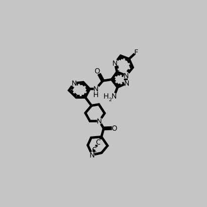 Nc1nn2cc(F)cnc2c1C(=O)Nc1cnccc1C1CCN(C(=O)C23CCN(CC2)CC3)CC1